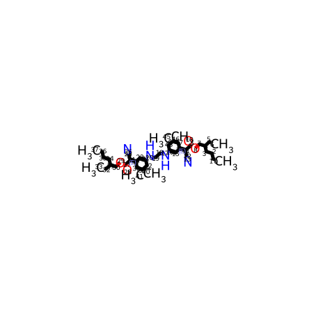 CCCCC(CC)COC(=O)/C(C#N)=C1/C=C(NCCNC2=C/C(=C(\C#N)C(=O)OCC(CC)CCCC)CC(C)(C)C2)CC(C)(C)C1